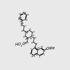 COc1ccc2nccc(CCC[C@@H]3CCN(CCSc4ccncn4)C[C@@H]3CC(=O)O)c2c1